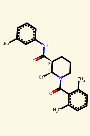 CC[C@H]1[C@@H](C(=O)Nc2cccc(C(C)(C)C)c2)CCCN1C(=O)c1c(C)cccc1C